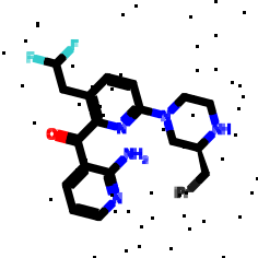 CC(C)C[C@H]1CN(c2ccc(CC(F)F)c(C(=O)c3cccnc3N)n2)CCN1